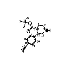 CC(C)(C)OC(=O)N1CCNC[C@@H]1c1ccc(C#N)cc1